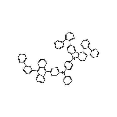 c1ccc(-c2cccc(-c3c4ccccc4c(-c4ccc(N(c5ccccc5)c5ccc(-n6c7ccc(-c8ccccc8-c8ccccc8)cc7c7cc(-c8ccccc8-c8ccccc8)ccc76)cc5)cc4)c4ccccc34)c2)cc1